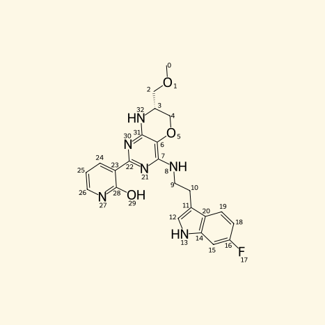 COC[C@@H]1COc2c(NCCc3c[nH]c4cc(F)ccc34)nc(-c3cccnc3O)nc2N1